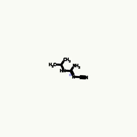 CC(C)N/C(N)=N/C#N